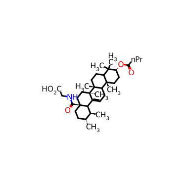 CCCC(=O)O[C@@H]1CC[C@@]2(C)C(CC[C@]3(C)C2CC=C2C4[C@@H](C)[C@H](C)CC[C@]4(C(=O)NCC(=O)O)CC[C@]23C)C1(C)C